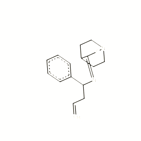 C=CCC(N=C1CN2CCC1CC2)c1ccccc1